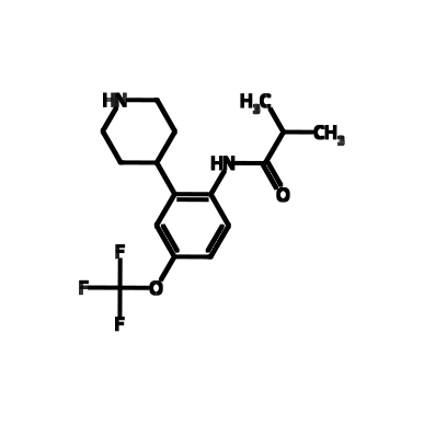 CC(C)C(=O)Nc1ccc(OC(F)(F)F)cc1C1CCNCC1